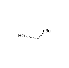 CCCC/C=C/C=C/C=C\CCCCCCCCO